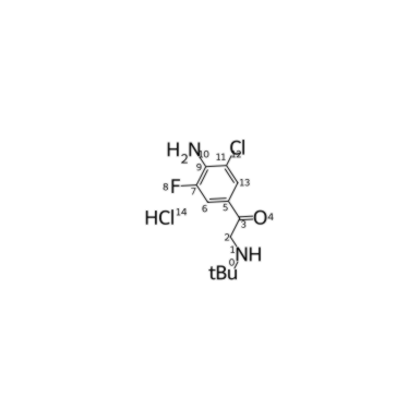 CC(C)(C)NCC(=O)c1cc(F)c(N)c(Cl)c1.Cl